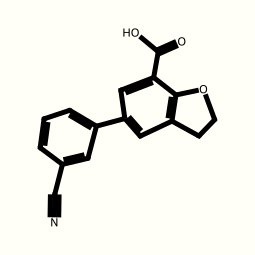 N#Cc1cccc(-c2cc3c(c(C(=O)O)c2)OCC3)c1